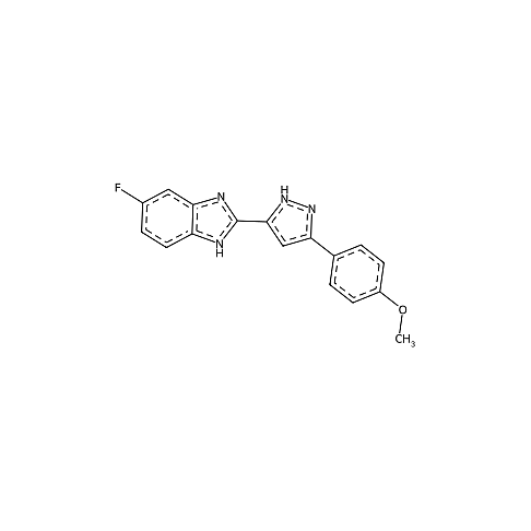 COc1ccc(-c2cc(-c3nc4cc(F)ccc4[nH]3)[nH]n2)cc1